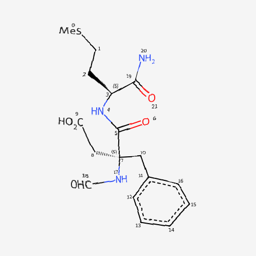 CSCC[C@H](NC(=O)[C@@](CC(=O)O)(Cc1ccccc1)NC=O)C(N)=O